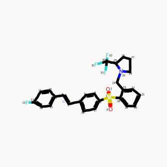 O=S(=O)(c1ccc(/C=C/c2ccc(F)cc2)cc1)c1ccccc1CN1CCCC1C(F)(F)F